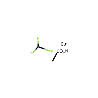 CC(=O)O.FC(F)F.[Cu]